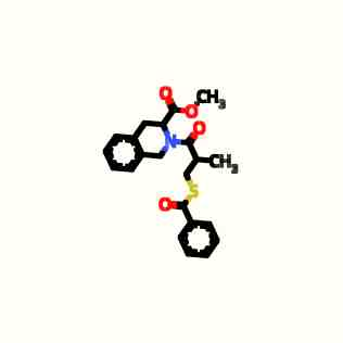 COC(=O)C1Cc2ccccc2CN1C(=O)C(C)CSC(=O)c1ccccc1